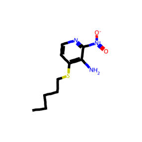 CCCCCSc1ccnc([N+](=O)[O-])c1N